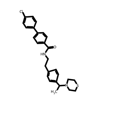 CC(c1ccc(CCNC(=O)c2ccc(-c3ccc(Cl)cc3)cc2)cc1)N1CCSCC1